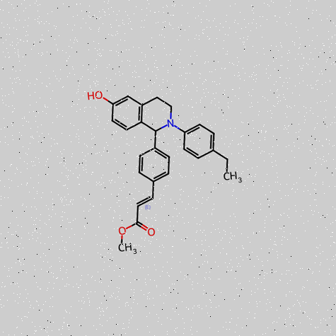 CCc1ccc(N2CCc3cc(O)ccc3C2c2ccc(/C=C/C(=O)OC)cc2)cc1